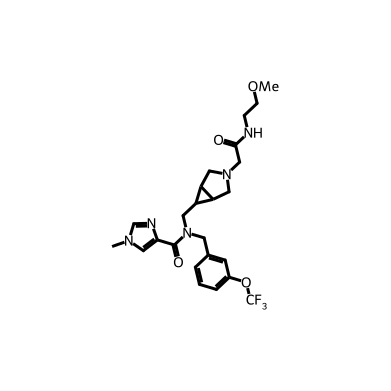 COCCNC(=O)CN1CC2C(C1)C2CN(Cc1cccc(OC(F)(F)F)c1)C(=O)c1cn(C)cn1